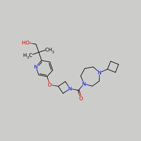 CC(C)(CO)c1ccc(OC2CN(C(=O)N3CCCN(C4CCC4)CC3)C2)cn1